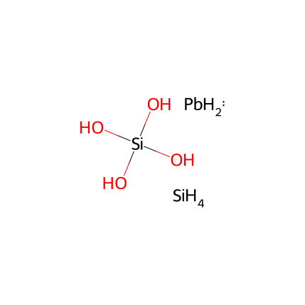 O[Si](O)(O)O.[PbH2].[SiH4]